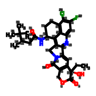 CC[C@@]1(O)C(=O)OCc2c1cc1n(c2=O)Cc2c-1nc1cc(F)c(Cl)c3c1c2[C@@H](NC(=O)C[C@H](C)C(C)(C)C)CC3